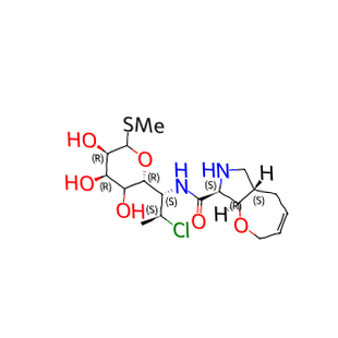 CSC1O[C@H]([C@H](NC(=O)[C@H]2NC[C@@H]3CC=CCO[C@H]32)[C@H](C)Cl)C(O)[C@@H](O)[C@H]1O